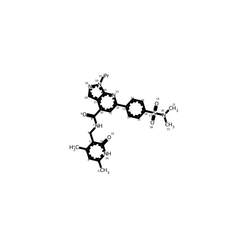 Cc1cc(C)c(CNC(=O)c2cc(-c3ccc(S(=O)(=O)N(C)C)cc3)nc3c2cnn3C(C)C)c(=O)[nH]1